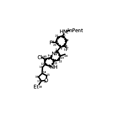 CCCCCNc1cc(F)c(-c2nc3c(Cl)c(CC4COC(CC)C4)[nH]c3cc2C)c(F)c1